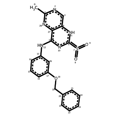 Cc1ncc2[nH]c(=S(=O)=O)nc(Nc3cccc(OCc4ccccc4)c3)c2n1